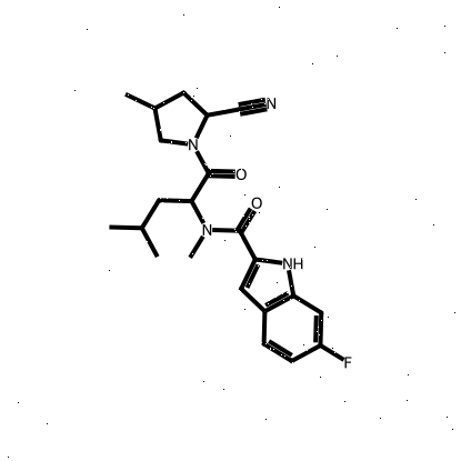 CC(C)CC(C(=O)N1CC(C)CC1C#N)N(C)C(=O)c1cc2ccc(F)cc2[nH]1